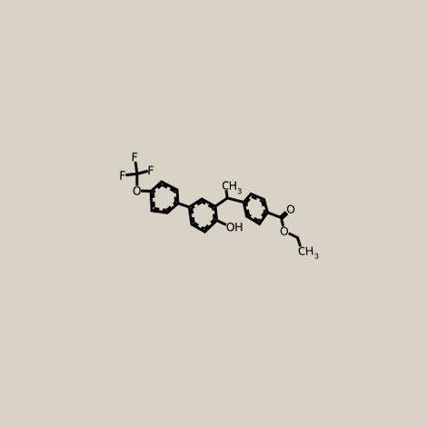 CCOC(=O)c1ccc(C(C)c2cc(-c3ccc(OC(F)(F)F)cc3)ccc2O)cc1